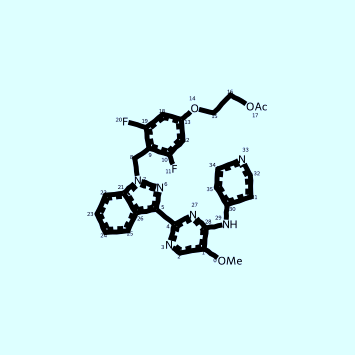 COc1cnc(-c2nn(Cc3c(F)cc(OCCOC(C)=O)cc3F)c3ccccc23)nc1Nc1ccncc1